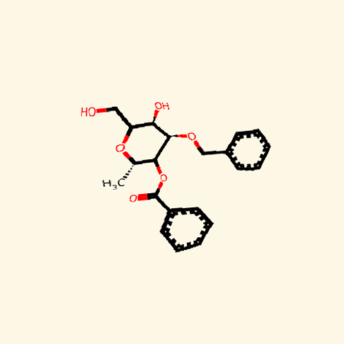 C[C@@H]1OC(CO)[C@@H](O)[C@@H](OCc2ccccc2)C1OC(=O)c1ccccc1